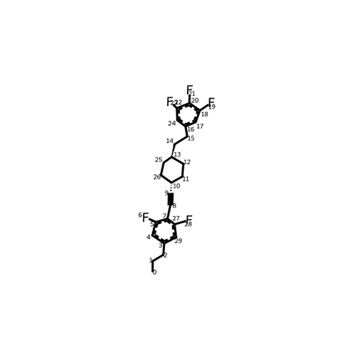 CCCc1cc(F)c(C#C[C@H]2CC[C@H](CCc3cc(F)c(F)c(F)c3)CC2)c(F)c1